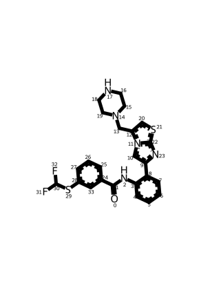 O=C(Nc1ccccc1-c1cn2c(CN3CCNCC3)csc2n1)c1cccc(SC(F)F)c1